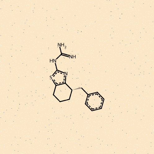 N=C(N)Nc1nc2c(s1)CCC[C@H]2Cc1ccccc1